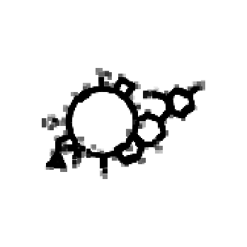 CCCc1cc(Cl)ccc1C1COc2ccc3cc2N(C1)CC1CCC1C(CCC)/C=C\C[C@@H](C)C(CC1CC1)S(=O)(=O)NC3=O